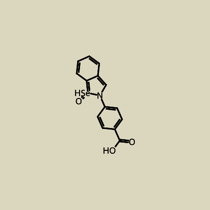 O=C(O)c1ccc(N2C=c3ccccc3=[SeH]2=O)cc1